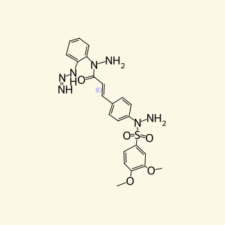 COc1ccc(S(=O)(=O)N(N)c2ccc(/C=C/C(=O)N(N)c3ccccc3NN=N)cc2)cc1OC